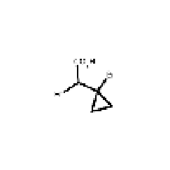 O=C(O)C(Br)C1(Br)CC1